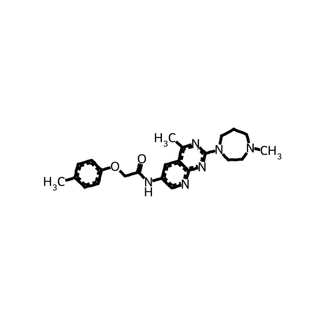 Cc1ccc(OCC(=O)Nc2cnc3nc(N4CCCN(C)CC4)nc(C)c3c2)cc1